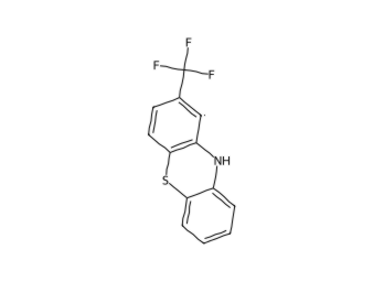 FC(F)(F)c1[c]c2c(cc1)Sc1ccccc1N2